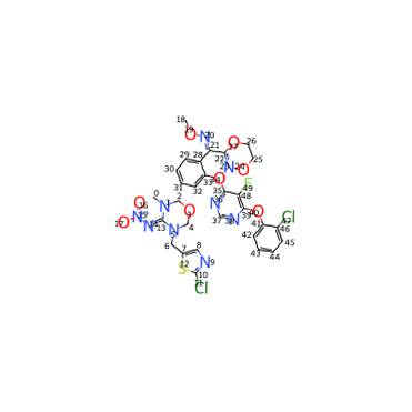 CN1COCN(Cc2cnc(Cl)s2)/C1=N/[N+](=O)[O-].CO/N=C(/C1=NOCCO1)c1ccccc1Oc1ncnc(Oc2ccccc2Cl)c1F